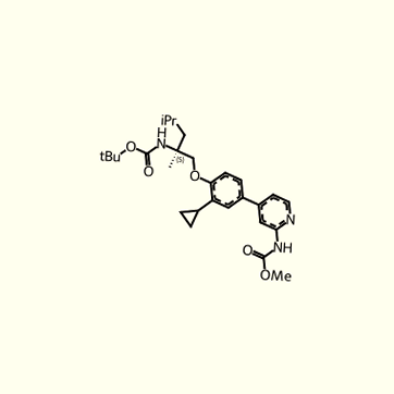 COC(=O)Nc1cc(-c2ccc(OC[C@](C)(CC(C)C)NC(=O)OC(C)(C)C)c(C3CC3)c2)ccn1